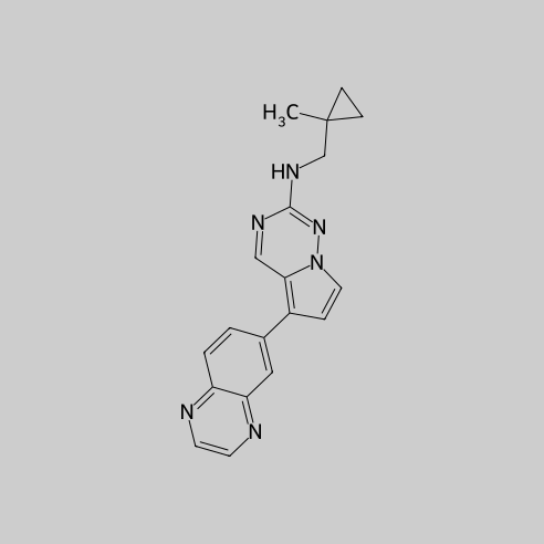 CC1(CNc2ncc3c(-c4ccc5nccnc5c4)ccn3n2)CC1